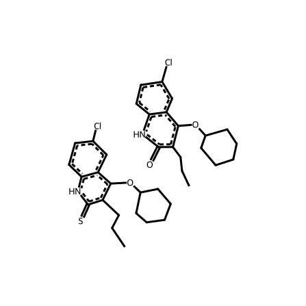 CCCc1c(OC2CCCCC2)c2cc(Cl)ccc2[nH]c1=O.CCCc1c(OC2CCCCC2)c2cc(Cl)ccc2[nH]c1=S